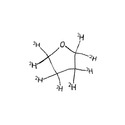 [2H]C1([2H])OC([2H])([2H])C([2H])([2H])C1([2H])[2H]